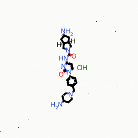 Cl.NC1CCN(Cc2ccc(-n3ccc(NC(=O)N4C[C@H]5C[C@@H](N)C[C@H]5C4)nc3=O)cc2)CC1